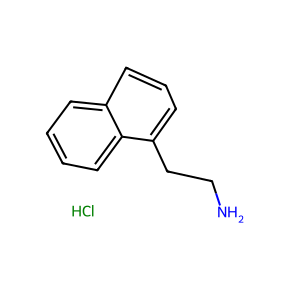 Cl.NCCc1cccc2ccccc12